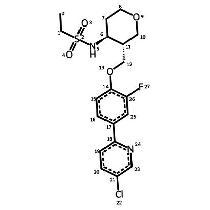 CCS(=O)(=O)N[C@H]1CCOC[C@@H]1COc1ccc(-c2ccc(Cl)cn2)cc1F